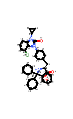 COC(=O)[C@H](Cc1ccc(-n2c(=O)n(C3CC3)c3cccc(Cl)c32)cc1)NC(c1ccccc1)(c1ccccc1)c1ccccc1